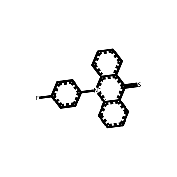 Fc1ccc(-n2c3ccccc3c(=S)c3ccccc32)cc1